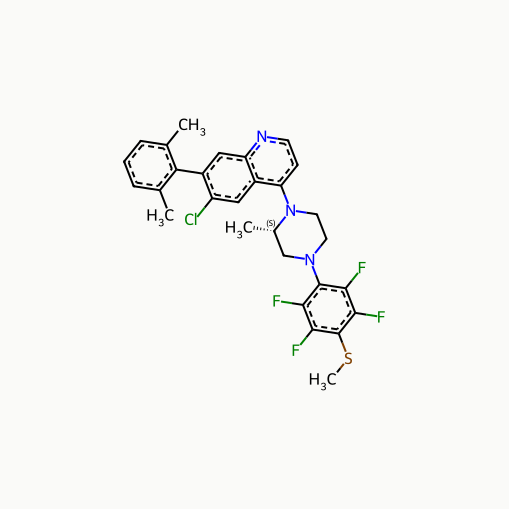 CSc1c(F)c(F)c(N2CCN(c3ccnc4cc(-c5c(C)cccc5C)c(Cl)cc34)[C@@H](C)C2)c(F)c1F